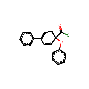 O=C(Cl)C1(Oc2ccccc2)C=CC(c2ccccc2)=CC1